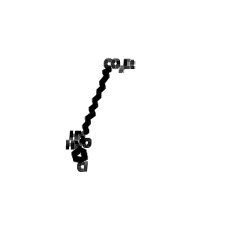 CCOC(=O)CCCCCCCCCCCCCCCNC(=O)Nc1ccc(Cl)cc1